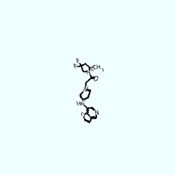 C[C@@H]1CC(F)(F)CN1C(=O)CN1CC[C@H](Nc2cncc3ccoc23)C1